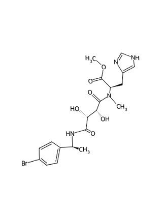 COC(=O)[C@@H](Cc1c[nH]cn1)N(C)C(=O)[C@H](O)[C@@H](O)C(=O)N[C@@H](C)c1ccc(Br)cc1